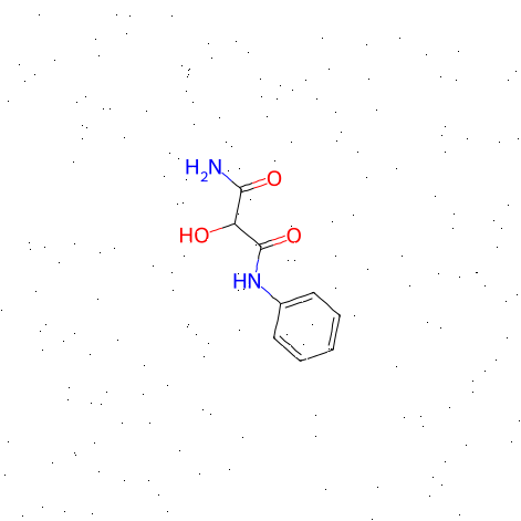 NC(=O)C(O)C(=O)Nc1ccccc1